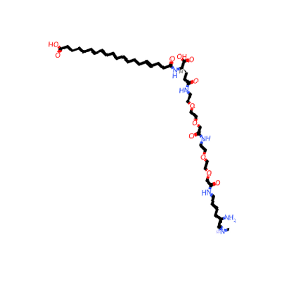 C/N=C\C(N)CCCCNC(=O)COCCOCCNC(=O)COCCOCCNC(=O)CC[C@H](NC(=O)CCCCCCCCCCCCCCCCCCC(=O)O)C(=O)O